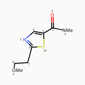 CNC(=O)c1cnc(CCOC)s1